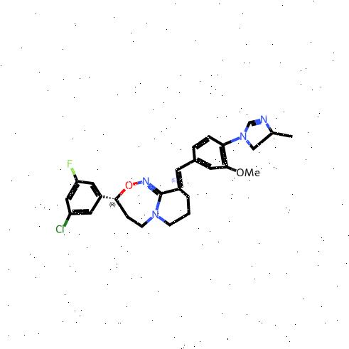 COc1cc(/C=C2\CCCN3CC[C@H](c4cc(F)cc(Cl)c4)ON=C23)ccc1N1C=NC(C)C1